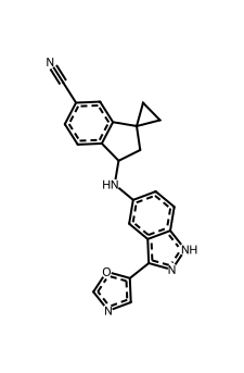 N#Cc1ccc2c(c1)C1(CC1)CC2Nc1ccc2[nH]nc(-c3cnco3)c2c1